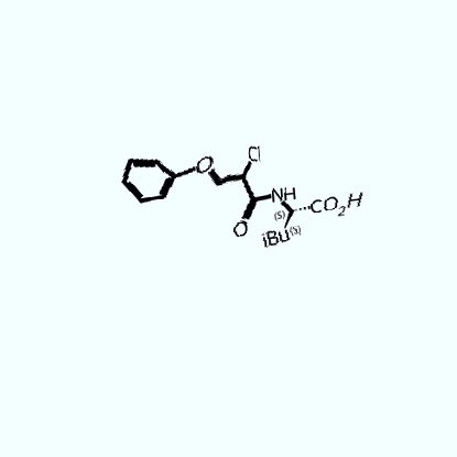 CC[C@H](C)[C@H](NC(=O)C(Cl)COc1ccccc1)C(=O)O